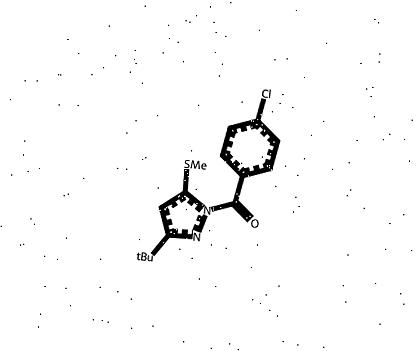 CSc1cc(C(C)(C)C)nn1C(=O)c1ccc(Cl)cc1